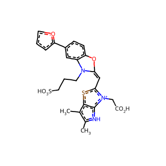 Cc1[nH]c2c(sc(C=C3Oc4ccc(-c5ccco5)cc4N3CCCS(=O)(=O)O)[n+]2CC(=O)O)c1C